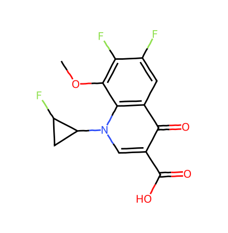 COc1c(F)c(F)cc2c(=O)c(C(=O)O)cn(C3CC3F)c12